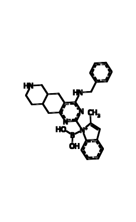 CC1=Cc2ccccc2[N+]1(B(O)O)c1nc2c(c(NCc3ccccc3)n1)CC1CNCCC1C2